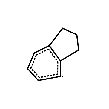 [c]1cccc2c1[CH]CC2